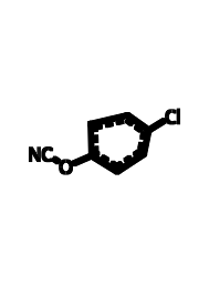 N#COc1ccc(Cl)cc1